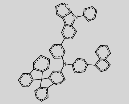 c1ccc(-n2c3ccccc3c3cc(-c4cccc(N(c5ccc(-c6cccc7ccccc67)cc5)c5ccc6c(c5)C5(c7ccccc7-c7ccccc75)c5ccccc5-6)c4)ccc32)cc1